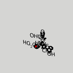 CC(COc1nc(N2CC3CCCC2C(C(=O)O)N3)c2cc(Cl)c(-c3cc(O)cc4ccccc34)c(F)c2n1)C(OC=O)N1C2CCC1COC2